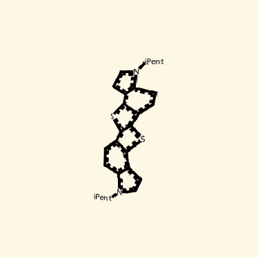 CCCC(C)n1ccc2c3sc4c5ccc6c(ccn6C(C)CCC)c5sc4c3ccc21